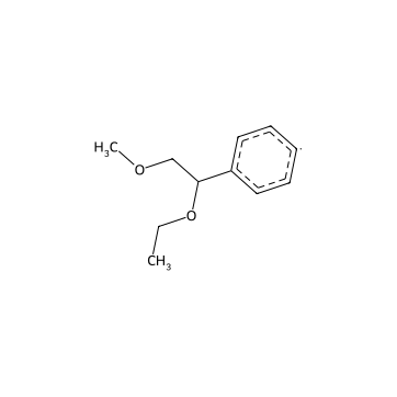 CCOC(COC)c1cc[c]cc1